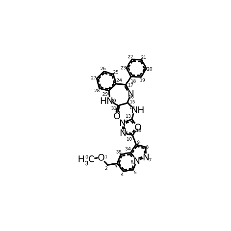 COCc1ccn2ncc(-c3nnc(NC4N=C(c5ccccc5)c5ccccc5NC4=O)o3)c2c1